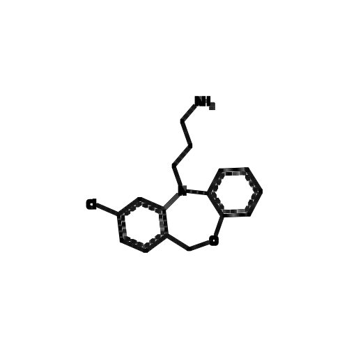 NCCCN1c2cc(Cl)ccc2COc2ccccc21